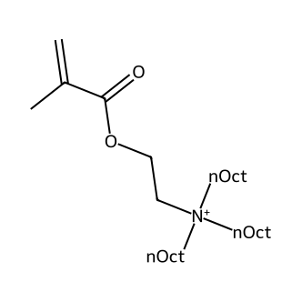 C=C(C)C(=O)OCC[N+](CCCCCCCC)(CCCCCCCC)CCCCCCCC